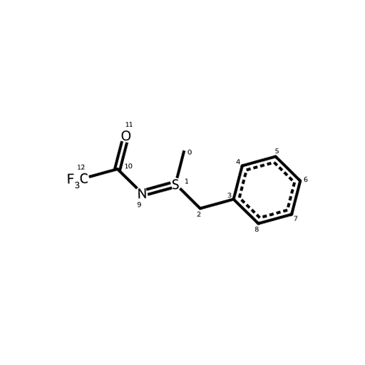 C/S(Cc1ccccc1)=N\C(=O)C(F)(F)F